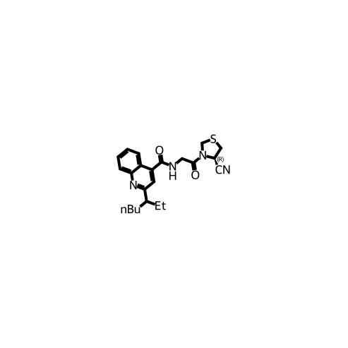 CCCCC(CC)c1cc(C(=O)NCC(=O)N2CSC[C@H]2C#N)c2ccccc2n1